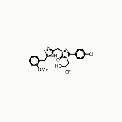 COc1ccccc1Cc1nnc(Cn2nc(-c3ccc(Cl)cc3)n(C[C@@H](O)C(F)(F)F)c2=O)[nH]1